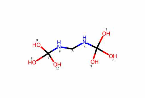 OC(O)(O)NCNC(O)(O)O